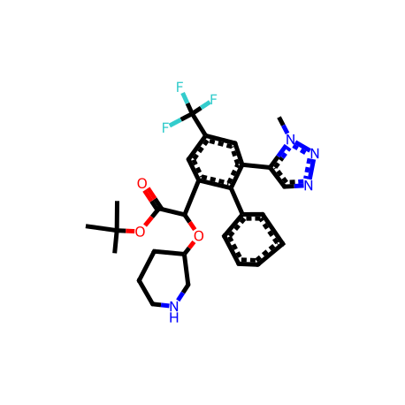 Cn1nncc1-c1cc(C(F)(F)F)cc(C(OC2CCCNC2)C(=O)OC(C)(C)C)c1-c1ccccc1